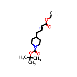 CCOC(=O)/C=C/CC1CCN(C(=O)OC(C)(C)C)CC1